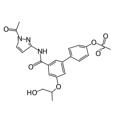 CC(=O)n1ccc(NC(=O)c2cc(OC(C)CO)cc(-c3ccc(OS(C)(=O)=O)cc3)c2)n1